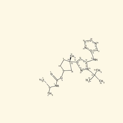 CC(C)NC(=O)OC1CC[C@](C)(c2cc(Nc3cnccn3)n(C(C)(C)C)n2)C1